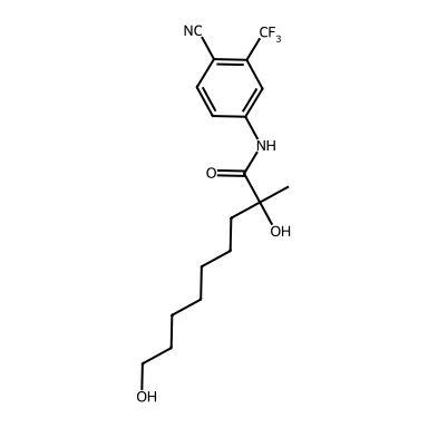 CC(O)(CCCCCCCO)C(=O)Nc1ccc(C#N)c(C(F)(F)F)c1